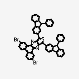 Brc1ccc2c3ccc(Br)cc3c3nc4c(-c5ccc6c(c5)C(c5ccccc5)c5ccccc5-6)sc(-c5ccc6c(c5)C(c5ccccc5)c5ccccc5-6)c4nc3c2c1